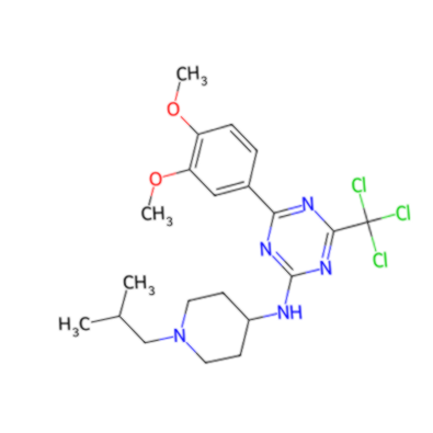 COc1ccc(-c2nc(NC3CCN(CC(C)C)CC3)nc(C(Cl)(Cl)Cl)n2)cc1OC